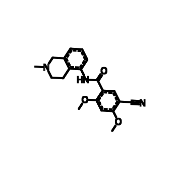 COc1cc(OC)c(C(=O)Nc2cccc3c2CCN(C)C3)cc1C#N